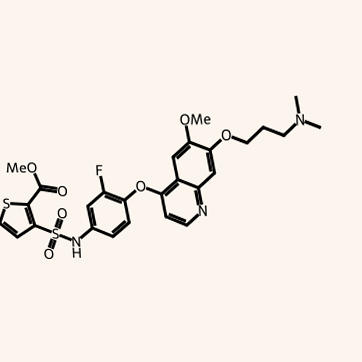 COC(=O)c1sccc1S(=O)(=O)Nc1ccc(Oc2ccnc3cc(OCCCN(C)C)c(OC)cc23)c(F)c1